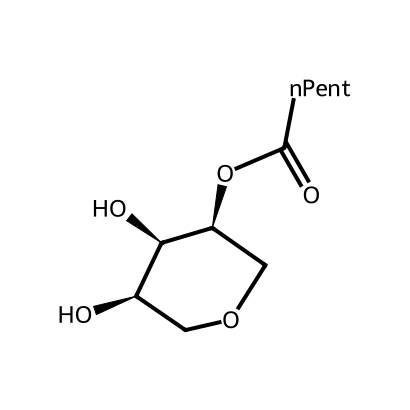 CCCCCC(=O)O[C@H]1COC[C@@H](O)[C@H]1O